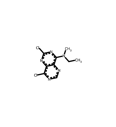 CCN(C)c1nc(Cl)nc2c(Cl)ncnc12